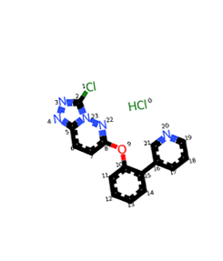 Cl.Clc1nnc2ccc(Oc3ccccc3-c3cccnc3)nn12